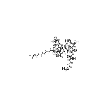 CCCCCCCCCC(=O)O[C@@H]([C@@H](OC[C@@H](O[C@H]1OC(C(=O)NCC(=O)NCCCCC)=C[C@H](O)[C@@H]1O)C(N)=O)n1ccc(=O)[nH]c1=O)[C@@H](C)OC